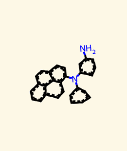 Nc1cccc(N(c2ccccc2)c2ccc3ccc4cccc5ccc2c3c45)c1